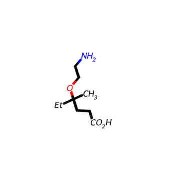 CCC(C)(CCC(=O)O)OCCN